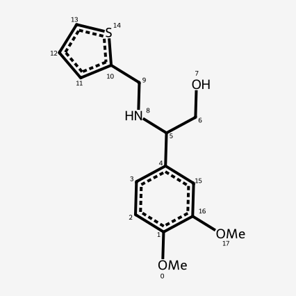 COc1ccc(C(CO)NCc2cccs2)cc1OC